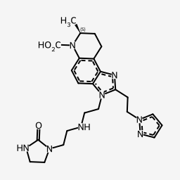 C[C@H]1CCc2c(ccc3c2nc(CCn2cccn2)n3CCNCCN2CCNC2=O)N1C(=O)O